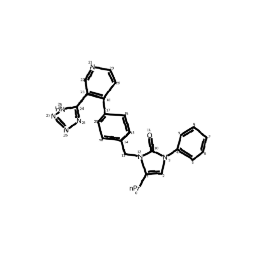 CCCc1cn(-c2ccccc2)c(=O)n1Cc1ccc(-c2ccncc2-c2nnn[nH]2)cc1